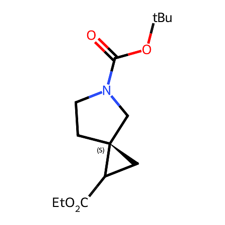 CCOC(=O)C1C[C@]12CCN(C(=O)OC(C)(C)C)C2